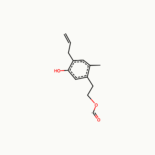 C=CCc1cc(C)c(CCO[C]=O)cc1O